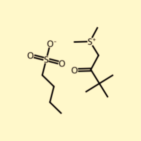 CCCCS(=O)(=O)[O-].C[S+](C)CC(=O)C(C)(C)C